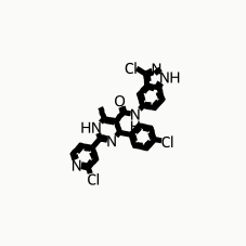 CC1=C(C(=O)Nc2ccc3[nH]nc(Cl)c3c2)C(c2ccc(Cl)cc2)N=C(c2ccnc(Cl)c2)N1